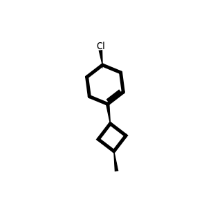 C[C@H]1C[C@@H](C2=CC[C@H](Cl)CC2)C1